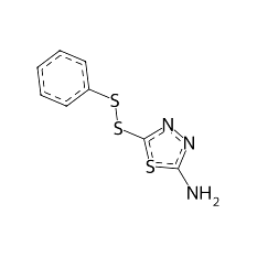 Nc1nnc(SSc2ccccc2)s1